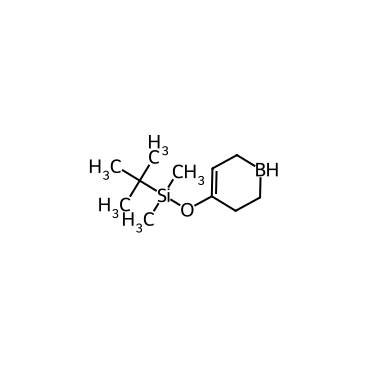 CC(C)(C)[Si](C)(C)OC1=CCBCC1